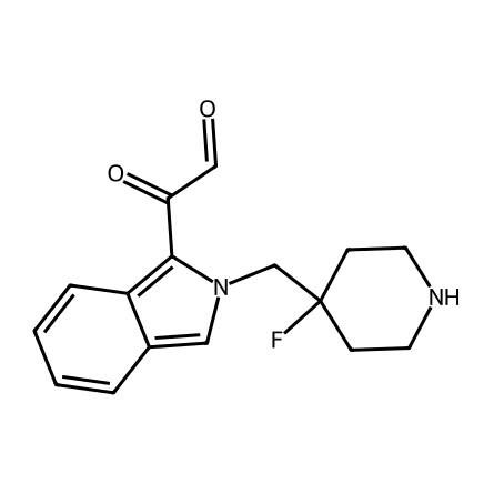 O=CC(=O)c1c2ccccc2cn1CC1(F)CCNCC1